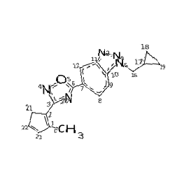 CC1=C(c2noc(-c3ccc4c(c3)nnn4CC3CC3)n2)CC=C1